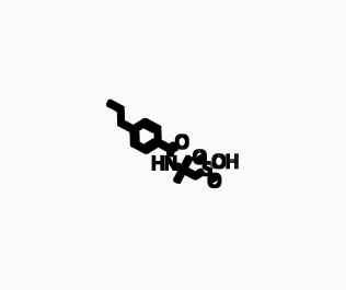 CCCc1ccc(C(=O)NC(C)(C)CS(=O)(=O)O)cc1